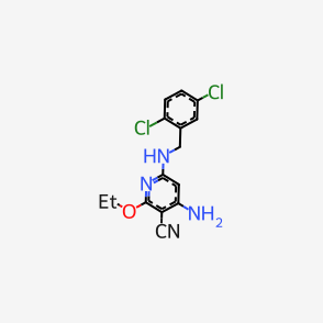 CCOc1nc(NCc2cc(Cl)ccc2Cl)cc(N)c1C#N